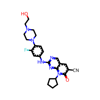 N#Cc1cc2cnc(Nc3ccc(N4CCN(CCO)CC4)c(F)c3)nc2n(C2CCCC2)c1=O